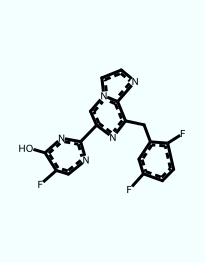 Oc1nc(-c2cn3ccnc3c(Cc3cc(F)ccc3F)n2)ncc1F